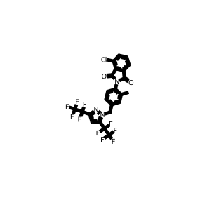 Cc1cc(Cn2nc(C(F)(F)C(F)(F)F)cc2C(F)(F)C(F)(F)F)ccc1N1C(=O)c2cccc(Cl)c2C1=O